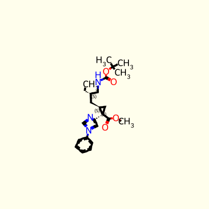 CC[C@H](CNC(=O)OC(C)(C)C)C[C@H]1C[C@]1(C(=O)OC)c1cn(-c2ccccc2)cn1